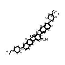 CC1CCN(c2ccc3cc4c(cc3c2)oc2c4cc(C#N)c3c4cc5ccc(N6CCC(C)CC6)cc5cc4oc23)CC1